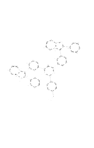 CC(C)Cc1ccc(-c2nc(-c3cccc(-c4c(-c5ccccc5)nc5ccccn45)c3)cc(-c3cccc(-c4c(-c5ccccc5)nc5ccccn45)c3)n2)cc1